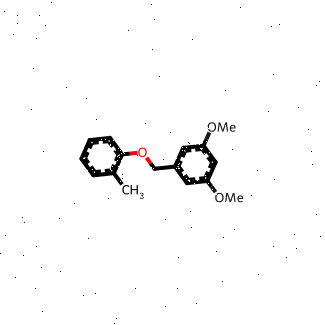 COc1cc(COc2ccccc2C)cc(OC)c1